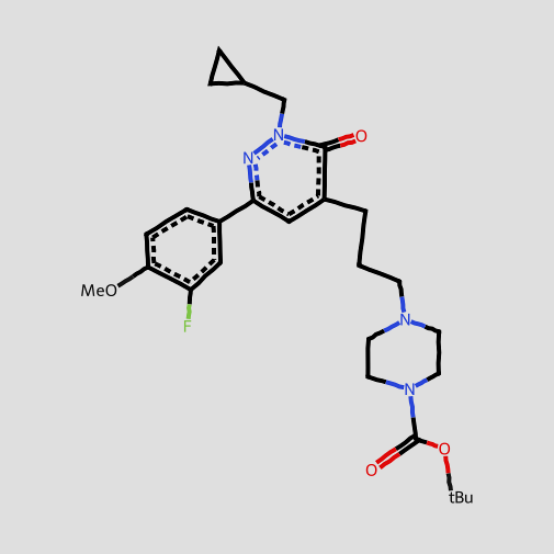 COc1ccc(-c2cc(CCCN3CCN(C(=O)OC(C)(C)C)CC3)c(=O)n(CC3CC3)n2)cc1F